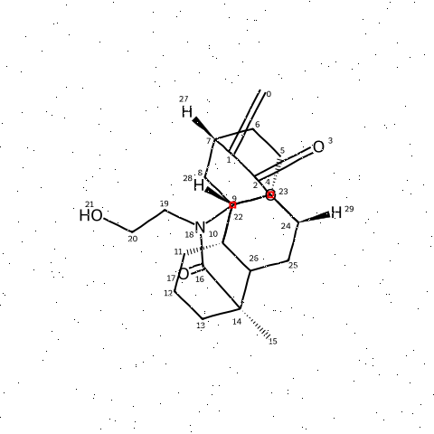 C=C1C(=O)[C@]23CC[C@H]1CC2[C@@]12CCC[C@@]4(C)C(=O)N(CCO)[C@@H]1O[C@@H]3CC24